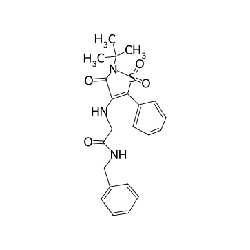 CC(C)(C)N1C(=O)C(NCC(=O)NCc2ccccc2)=C(c2ccccc2)S1(=O)=O